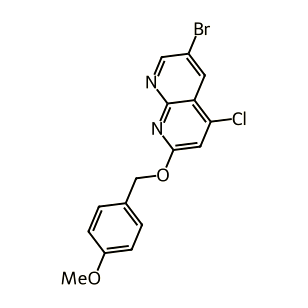 COc1ccc(COc2cc(Cl)c3cc(Br)cnc3n2)cc1